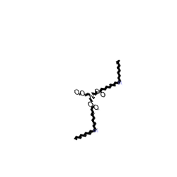 CCCCCCCC/C=C\CCCCCCCC(=O)OCC[N+](C)(CCOC=O)CCOC(=O)CCCCCCC/C=C\CCCCCCCC